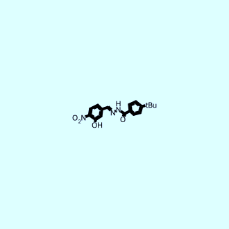 CC(C)(C)c1ccc(C(=O)NN=Cc2ccc([N+](=O)[O-])c(O)c2)cc1